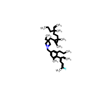 C=C/C(=C\C=C(/C)F)c1c(C)cc(CN2CC(CC)(CC3=C(C)C3(C)CCC(C)(C=C)CCC)C2)cc1CCC